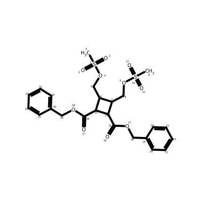 CS(=O)(=O)OCC1C(COS(C)(=O)=O)C(C(=O)OCc2ccccc2)C1C(=O)OCc1ccccc1